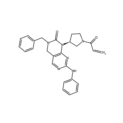 C=CC(=O)N1CC[C@H](N2C(=O)N(Cc3ccccc3)Cc3cnc(Nc4ccccc4)nc32)C1